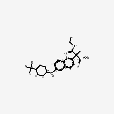 CCOC(=O)C(C)(c1ccc2cc(OC3CCC(C(C)(C)C)CC3)ccc2n1)[N+](=O)[O-]